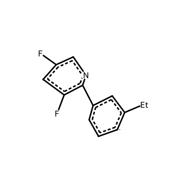 CCc1[c]ccc(-c2ncc(F)cc2F)c1